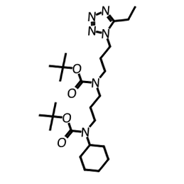 CCc1nnnn1CCCN(CCCN(C(=O)OC(C)(C)C)C1CCCCC1)C(=O)OC(C)(C)C